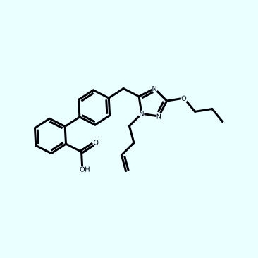 C=CCCn1nc(OCCC)nc1Cc1ccc(-c2ccccc2C(=O)O)cc1